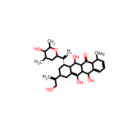 C=C(CO)C1CC2=C(O)C3C(O)C4=CC=CC(OC)C4C(=O)C3C(O)C2[C@@H](C(=C)C2CC(C)C(O)C(C)O2)C1